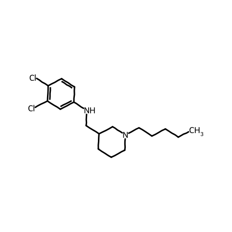 CCCCCN1CCCC(CNc2ccc(Cl)c(Cl)c2)C1